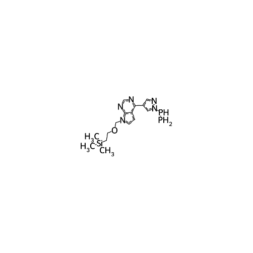 C[Si](C)(C)CCOCn1ccc2c(-c3cnn(PP)c3)ncnc21